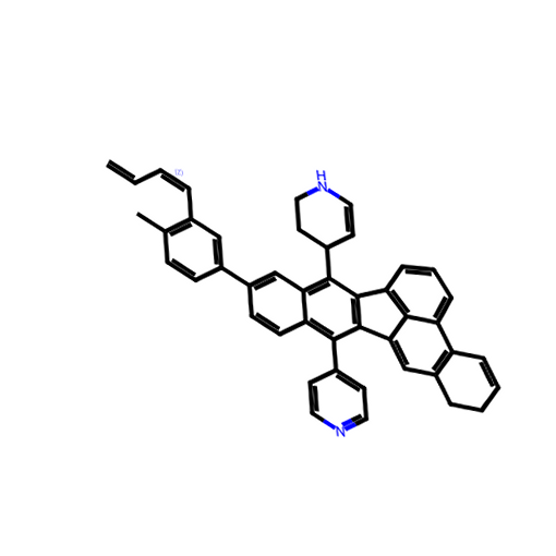 C=C/C=C\c1cc(-c2ccc3c(-c4ccncc4)c4c(c(C5C=CNCC5)c3c2)-c2cccc3c5c(cc-4c23)CCC=C5)ccc1C